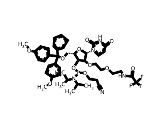 COc1ccc(C(OC[C@@H]2O[C@H](n3ccc(=O)[nH]c3=O)C(OCCOCCNC(=O)C(F)(F)F)C2OP(OCCC#N)N(C(C)C)C(C)C)(c2ccccc2)c2ccc(OC)cc2)cc1